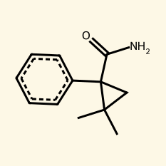 CC1(C)CC1(C(N)=O)c1ccccc1